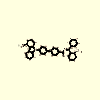 CC1CC=CC=C1/C(=N\C(=N)c1ccc(-c2ccc(-n3c4c(c5ccccc53)C(C)CC=C4)cc2)cc1)c1ccccc1